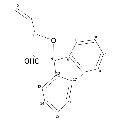 C=CCOC(C=O)(c1ccccc1)c1ccccc1